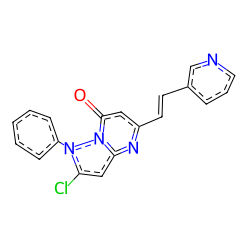 O=c1cc(/C=C/c2cccnc2)nc2cc(Cl)n(-c3ccccc3)n12